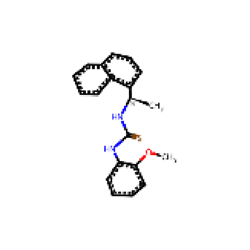 COc1ccccc1NC(=S)N[C@H](C)c1cccc2ccccc12